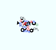 CCC[C@H](NC(=O)[C@@H]1C[C@@H](Oc2ccc(Cl)cn2)CN1C(=O)[C@@H](NC(=O)[C@@H](Nc1nc2ccc(C)cc2o1)C1CCCCC1)C(C)(C)C)C(=O)C(=O)NC1CC1